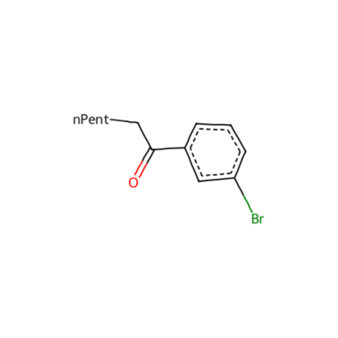 CCCCCCC(=O)c1cccc(Br)c1